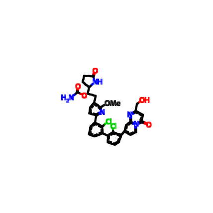 COc1nc(-c2cccc(-c3cccc(-c4ccn5c(=O)cc(CO)nc5c4)c3Cl)c2Cl)ccc1CC(OC(N)=O)C1CCC(=O)N1